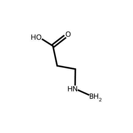 BNCCC(=O)O